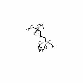 CCO[Si](C)(C)CCC[Si](OCC)(OCC)OCC